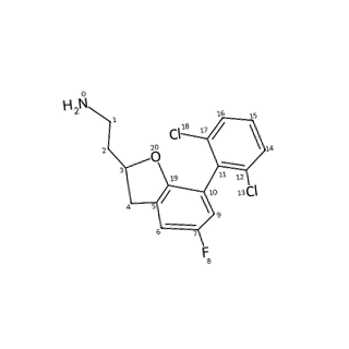 NCCC1Cc2cc(F)cc(-c3c(Cl)cccc3Cl)c2O1